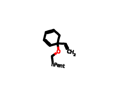 C=CC1(OCCCCCC)C=CC=CC1